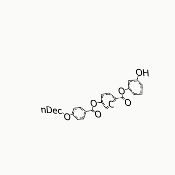 CCCCCCCCCCOc1ccc(C(=O)Oc2ccc(C(=O)Oc3cccc(O)c3)cc2)cc1